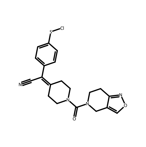 N#CC(=C1CCN(C(=O)N2CCc3nocc3C2)CC1)c1ccc(SCl)cc1